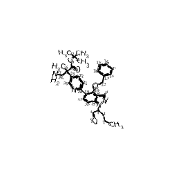 CCCC(C=O)n1ncc2c(OCc3ccccc3)c(-c3ccc(C(C)(CN)C(=O)OC(C)(C)C)cn3)ccc21